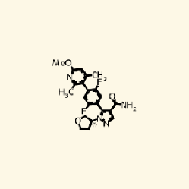 COc1cc(C)c(-c2cc(F)c(-c3c(C(N)=O)cnn3[C@H]3CCOC3)cc2F)c(C)n1